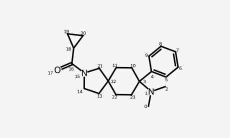 CN(C)C1(c2ccccc2)CCC2(CCN(C(=O)C3CC3)C2)CC1